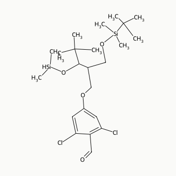 C[SiH](C)OC(C(COc1cc(Cl)c(C=O)c(Cl)c1)CO[Si](C)(C)C(C)(C)C)C(C)(C)C